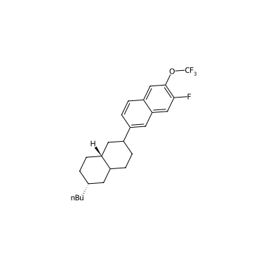 CCCC[C@@H]1CC[C@@H]2CC(c3ccc4cc(OC(F)(F)F)c(F)cc4c3)CCC2C1